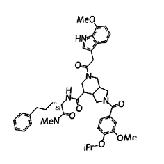 CNC(=O)[C@H](CCCc1ccccc1)NC(=O)C1CN(C(=O)Cc2c[nH]c3c(OC)cccc23)CC2CN(C(=O)c3ccc(OC(C)C)c(OC)c3)CC21